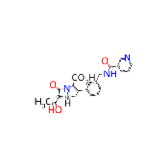 C[C@@H](O)[C@H]1C(=O)N2C(C(=O)O)=C(c3cccc(CNC(=O)c4cccnc4)c3)C[C@H]12